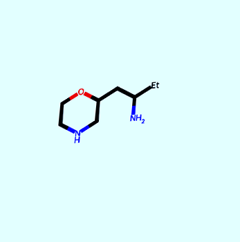 CCC(N)CC1CNCCO1